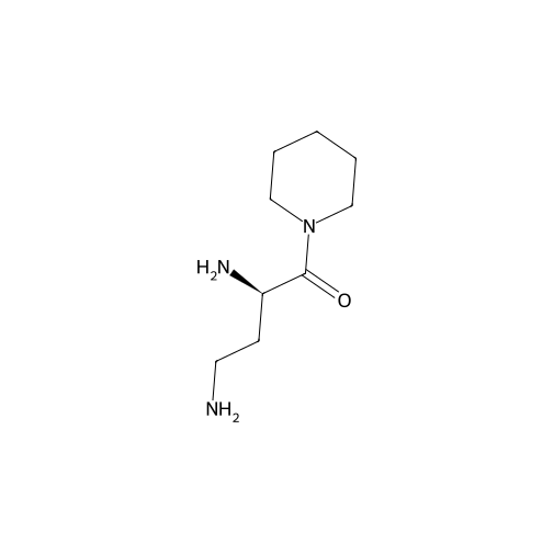 NCC[C@@H](N)C(=O)N1CCCCC1